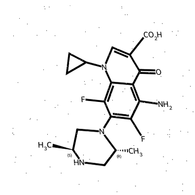 C[C@@H]1CN[C@@H](C)CN1c1c(F)c(N)c2c(=O)c(C(=O)O)cn(C3CC3)c2c1F